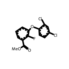 COC(=O)c1cccc(Oc2ccc(Cl)cc2Cl)c1F